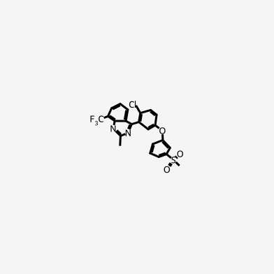 Cc1nc(-c2cc(Oc3cccc(S(C)(=O)=O)c3)ccc2Cl)c2cccc(C(F)(F)F)c2n1